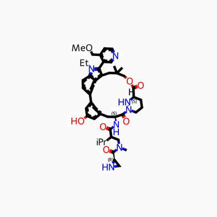 CCn1c(-c2cnccc2COC)c2c3cc(ccc31)-c1cc(O)cc(c1)C[C@H](NC(=O)C(CN(C)C(=O)[C@H]1CN1)C(C)C)C(=O)N1CCC[C@H](N1)C(=O)OCC(C)(C)C2